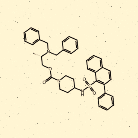 C[C@@H](COC(=O)N1CCC(NS(=O)(=O)c2c(-c3ccccc3)ccc3ccccc23)CC1)N(Cc1ccccc1)Cc1ccccc1